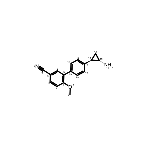 COc1ccc(C#N)cc1-c1ccc([C@H]2C[C@@H]2N)cc1